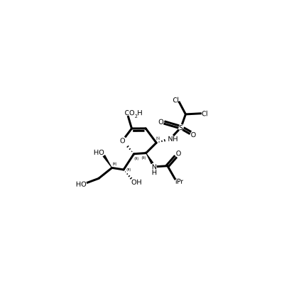 CC(C)C(=O)N[C@H]1[C@H]([C@H](O)[C@H](O)CO)OC(C(=O)O)=C[C@@H]1NS(=O)(=O)C(Cl)Cl